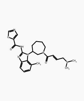 Cc1cccc2nc(NC(=O)c3cnco3)n(C3CCCCN(C(=O)C=CCN(C)C)C3)c12